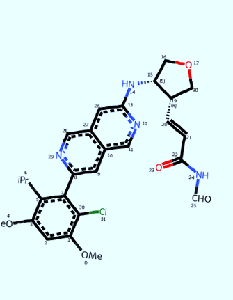 COc1cc(OC)c(C(C)C)c(-c2cc3cnc(N[C@@H]4COC[C@@H]4C=CC(=O)NC=O)cc3cn2)c1Cl